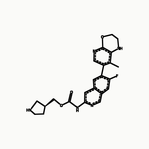 Cc1c(-c2cc3cc(NC(=O)OC[C@H]4CCNC4)ncc3cc2F)cnc2c1NCCO2